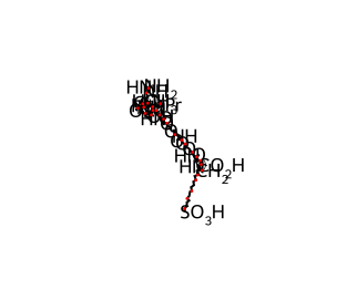 C=C(CCCCCCCCCCCCCCCS(=O)(=O)O)N[C@@H](CCC(=O)NCCOCCOCC(=O)NCCOCCOCC(=O)NCCCC[C@H](CC(=O)[C@@H](N)C(C)C)C(=O)C(C)[C@@H](CCCNC(=N)N)C(=O)N[C@@H](Cc1ccc(O)cc1)C(N)=O)C(=O)O